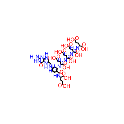 NC(CCC(=O)O)C(=O)O.NC(CCC(=O)O)C(=O)O.NC(CCC(=O)O)C(=O)O.NC(CCC(=O)O)C(=O)O.Nc1nc2c(c(=O)[nH]1)NC(CNc1ccc(C(=O)NC(CCC(=O)O)C(=O)O)cc1)CN2